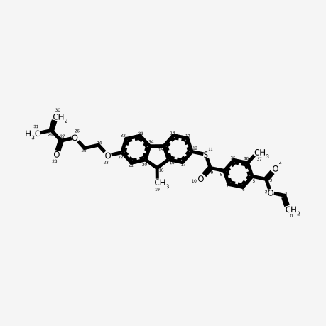 C=COC(=O)c1ccc(C(=O)Sc2ccc3c(c2)C(C)c2cc(OCCOC(=O)C(=C)C)ccc2-3)cc1C